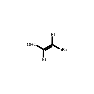 CCCCC(CC)=C(C=O)CC